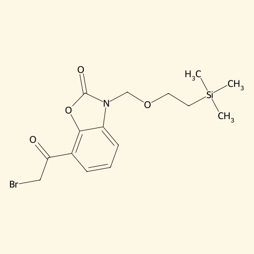 C[Si](C)(C)CCOCn1c(=O)oc2c(C(=O)CBr)cccc21